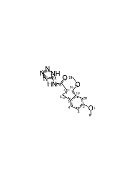 COc1ccc2sc(C(=O)Nc3nnn[nH]3)c(OC)c2c1